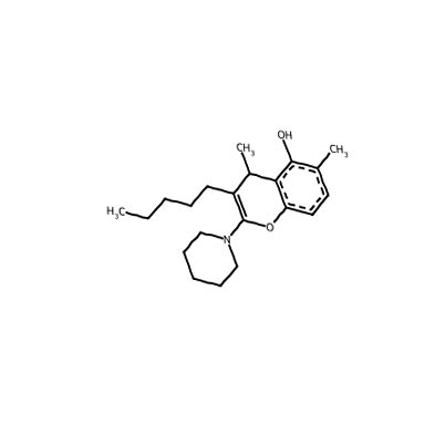 CCCCCC1=C(N2CCCCC2)Oc2ccc(C)c(O)c2C1C